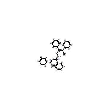 N/C(=N\C(=N/Cc1c(Br)c2ccccc2c2ccccc12)c1ccccc1)c1ccccc1